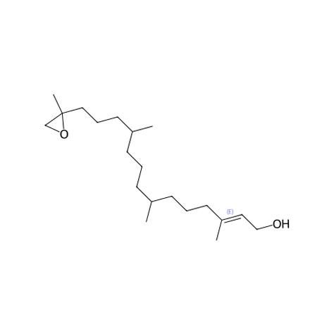 C/C(=C\CO)CCCC(C)CCCC(C)CCCC1(C)CO1